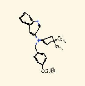 CCOC(=O)c1ccc(CN(c2cnc3ccccc3c2)C2CC(C)(C)C2)cc1